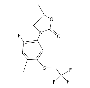 Cc1cc(F)c(N2CC(C)OC2=O)cc1SCC(F)(F)F